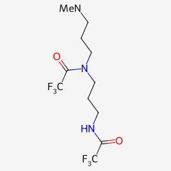 CNCCCN(CCCNC(=O)C(F)(F)F)C(=O)C(F)(F)F